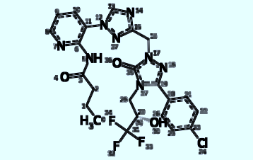 CCCC(=O)Nc1ncccc1-n1cnc(Cn2nc(-c3ccc(Cl)cc3)n(C[C@H](O)C(F)(F)F)c2=O)n1